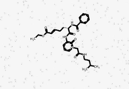 CCOC(=O)/C=C/CC[C@H](NC(=O)c1ccccc1)C(=O)Nc1cccn(CC(=O)NCCC(C)C)c1=O